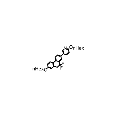 CCCCCCOc1ccc2c(c1)CC(F)(F)c1cc(-c3ccc(OCCCCCC)nc3)ccc1-2